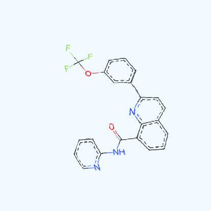 O=C(Nc1ccccn1)c1cccc2ccc(-c3cccc(OC(F)(F)F)c3)nc12